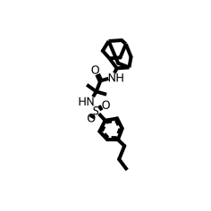 CCCc1ccc(S(=O)(=O)NC(C)(C)C(=O)NC2C3CC4CC(C3)CC2C4)cc1